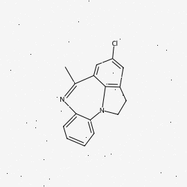 CC1=Nc2ccccc2N2CCc3cc(Cl)cc1c32